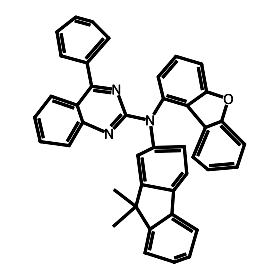 CC1(C)c2ccccc2-c2ccc(N(c3nc(-c4ccccc4)c4ccccc4n3)c3cccc4oc5ccccc5c34)cc21